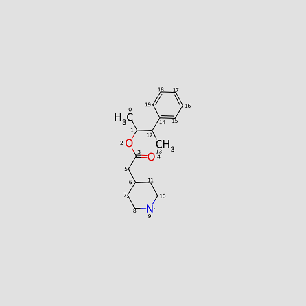 CC(OC(=O)CC1[CH]C[N]CC1)C(C)c1ccccc1